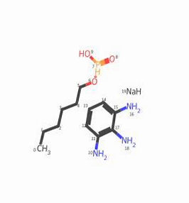 CCCCCCO[PH](=O)O.Nc1cccc(N)c1N.[NaH]